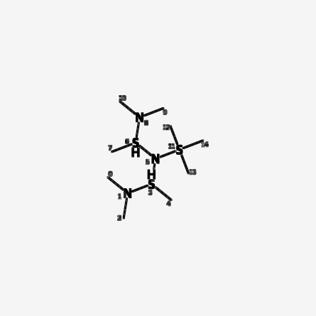 CN(C)[SH](C)N([SH](C)N(C)C)S(C)(C)C